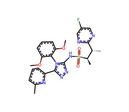 COc1cccc(OC)c1-n1c(NS(=O)(=O)[C@H](C)[C@@H](C)c2ncc(F)cn2)nnc1-c1cccc(C)n1